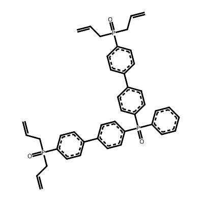 C=CCP(=O)(CC=C)c1ccc(-c2ccc(P(=O)(c3ccccc3)c3ccc(-c4ccc(P(=O)(CC=C)CC=C)cc4)cc3)cc2)cc1